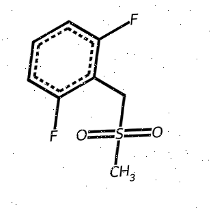 CS(=O)(=O)Cc1c(F)cccc1F